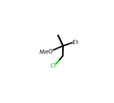 CCC(C)(CCl)OC